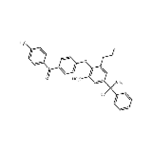 CCC(C)(c1ccccc1)c1cc(CCI)c(Oc2ccc(C(=O)c3ccc(C)cc3)cc2)c(S(=O)(=O)O)c1